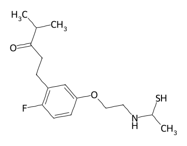 CC(S)NCCOc1ccc(F)c(CCC(=O)C(C)C)c1